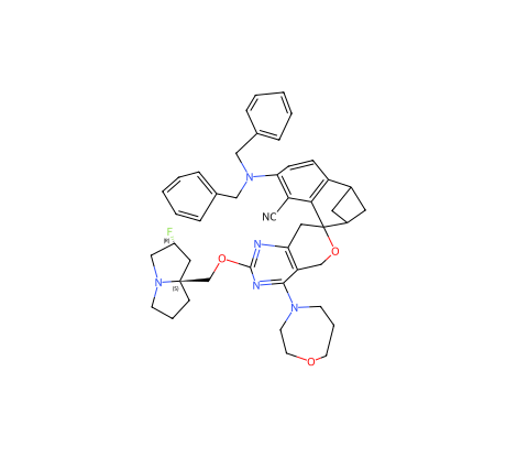 N#Cc1c(N(Cc2ccccc2)Cc2ccccc2)ccc2c1C1(Cc3nc(OC[C@@]45CCCN4C[C@H](F)C5)nc(N4CCCOCC4)c3CO1)C1CC2C1